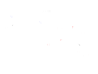 O=C(O)CC(=O)OC[C@H]1O[C@@H](Oc2cc3c(cc2O)[N+](=CC=C2C=C(C(=O)O)N[C@H](C(=O)O)C2)[C@H](C(=O)O)C3)[C@H](O)[C@@H](O)[C@@H]1O